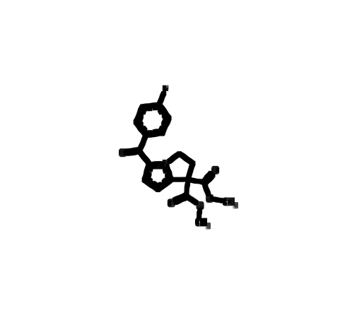 COC(=O)C1(C(=O)OC)CCn2c(C(=O)c3ccc(F)cc3)ccc21